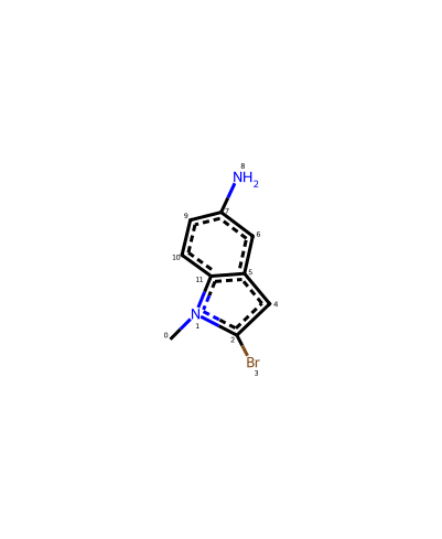 Cn1c(Br)cc2cc(N)ccc21